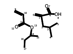 C=C(CC(C)C)C(=O)O.C=CC(=O)OC(C)CC